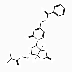 CC(C)C(=O)OC[C@H]1OC(n2ccc(NOC(=O)c3ccccc3)nc2=O)[C@@H]2OC(=O)O[C@H]12